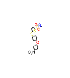 CN(C)S(=O)(=O)c1ccc(Sc2ccc(Oc3ccc([N+](=O)[O-])cc3)cc2)s1